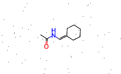 CC(=O)NC=C1CCCCC1